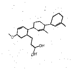 COC1C=CC(C2C=C(C)C(C3C=C(C)CCC3)CC2)C(CCC(O)O)C1